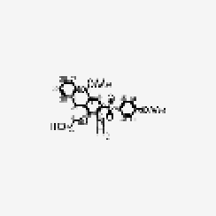 COC(=O)c1cc(S(=O)(=O)c2ccc(OC)cc2)c(N)c(OCCO)c1Cc1ccccc1